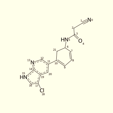 N#CCC(=O)NC1C=CC=C(c2cnc3[nH]cc(Cl)c3c2)C1